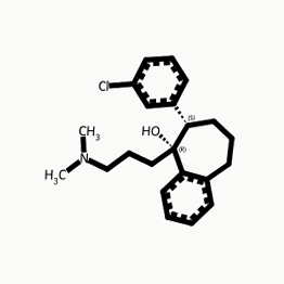 CN(C)CCC[C@]1(O)c2ccccc2CCC[C@H]1c1cccc(Cl)c1